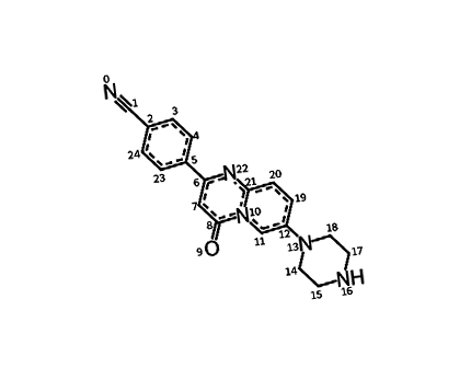 N#Cc1ccc(-c2cc(=O)n3cc(N4CCNCC4)ccc3n2)cc1